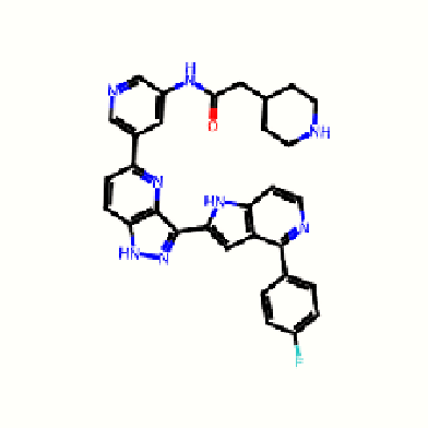 O=C(CC1CCNCC1)Nc1cncc(-c2ccc3[nH]nc(-c4cc5c(-c6ccc(F)cc6)nccc5[nH]4)c3n2)c1